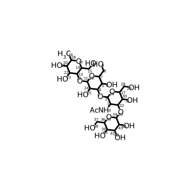 CC(=O)NC1C(OC2C(O)C(CO)OC(OC3C(CO)OC(C)C(O)C3O)C2O)OC(CO)C(O)C1OC1OC(CO)C(O)C(O)C1O